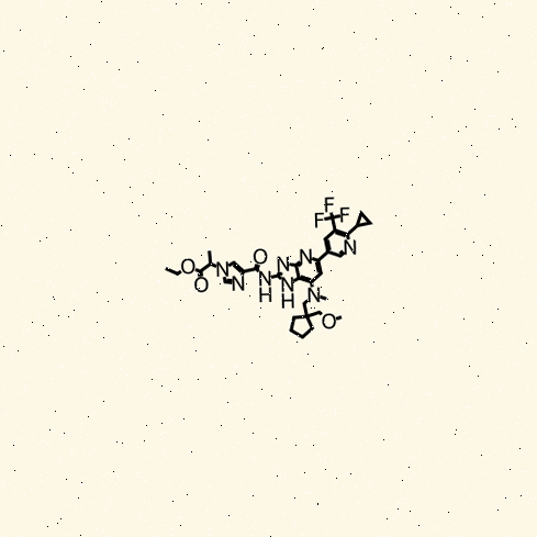 CCOC(=O)C(C)n1cnc(C(=O)Nc2nc3nc(-c4cnc(C5CC5)c(C(F)(F)F)c4)cc(N(C)CC4(COC)CCCC4)c3[nH]2)c1